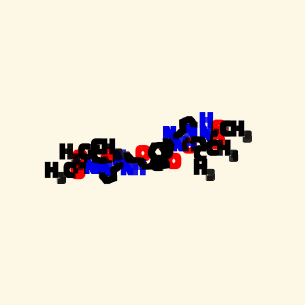 COC(=O)NC(C(=O)N1CCCC1c1ncc(C2=CCC34CC=CC5OC(c6cnc(C7CCCN7C(=O)C(NC(=O)OC)C(C)C)[nH]6)C53C=CCC4O2)[nH]1)C(C)C